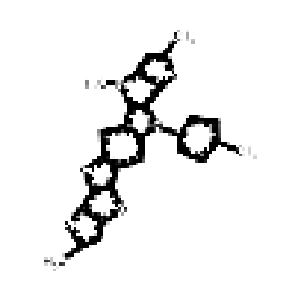 Cc1ccc(-n2c3cc4c(cc3c3c2c2sc(C)cc2n3C)oc2c4oc3cc(C)sc32)cc1